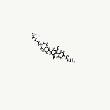 CCCCCCC1CCC2CC(c3cc(F)c(-c4ccc(CCC)cc4)c(F)c3)CCC2C1